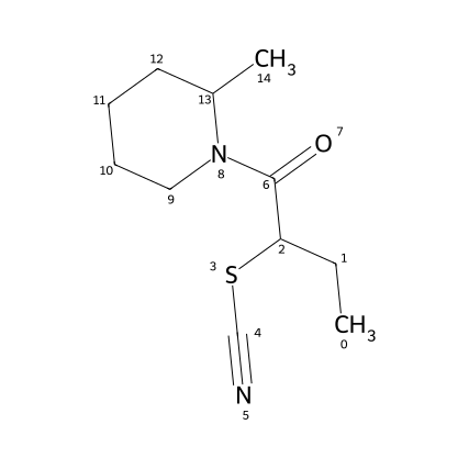 CCC(SC#N)C(=O)N1CCCCC1C